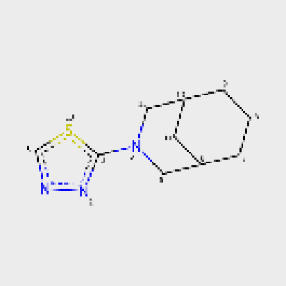 c1nnc(N2CC3CCCC(C3)C2)s1